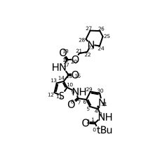 CC(C)(C)C(=O)Nc1cc(C(=O)Nc2sccc2C(=O)NC(=O)OCCN2CCCCC2)ccn1